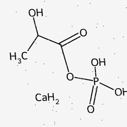 CC(O)C(=O)OP(=O)(O)O.[CaH2]